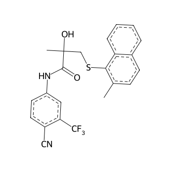 Cc1ccc2ccccc2c1SCC(C)(O)C(=O)Nc1ccc(C#N)c(C(F)(F)F)c1